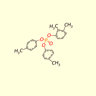 Cc1ccc(OP(=O)(Oc2ccc(C)cc2)Oc2cccc(C)c2C)cc1